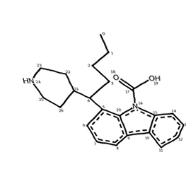 CCCCC(c1cccc2c3ccccc3n(C(=O)O)c12)C1CCNCC1